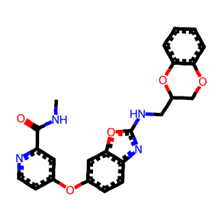 CNC(=O)c1cc(Oc2ccc3nc(NCC4COc5ccccc5O4)oc3c2)ccn1